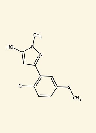 CSc1ccc(Cl)c(-c2cc(O)n(C)n2)c1